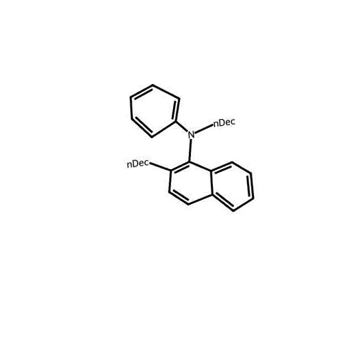 CCCCCCCCCCc1ccc2ccccc2c1N(CCCCCCCCCC)c1ccccc1